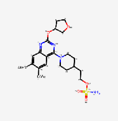 COc1cc2nc(OC3CCOC3)nc(N3CCC(CCOS(N)(=O)=O)CC3)c2cc1OC